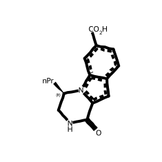 CCC[C@@H]1CNC(=O)c2cc3ccc(C(=O)O)cc3n21